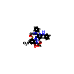 COOSc1cc([N+](=O)[O-])cc(C(=O)NS(C)(=O)=O)c1N=Nc1c(C)cc(Nc2ccccc2)nc1Nc1ccccc1